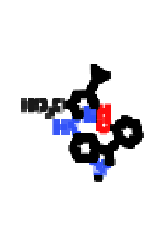 Cn1cc(-c2ccccc2O)c2cc(Nc3ncc(C4CC4)cc3C(=O)O)ccc21